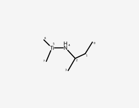 CCC(C)[NH][Ti]([CH3])[CH3]